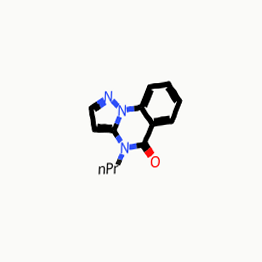 CCCn1c(=O)c2ccccc2n2nccc12